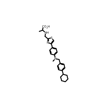 CC(NCc1nc(-c2ccc(N(C)Cc3ccc(C4CCCCC4)cc3)cc2)cs1)C(=O)O